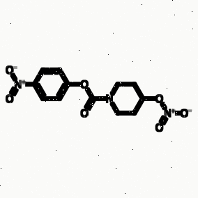 O=C(Oc1ccc([N+](=O)[O-])cc1)N1CCC(O[N+](=O)[O-])CC1